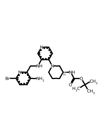 CC(C)(C)OC(=O)N[C@H]1CCCN(c2ccncc2NCc2nc(Br)ccc2N)C1